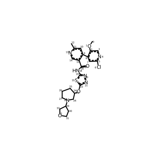 COc1cnc(Cl)cc1-c1cc(C)ncc1C(=O)Nc1nnc(OC2CCCN(C3CCOC3)C2)s1